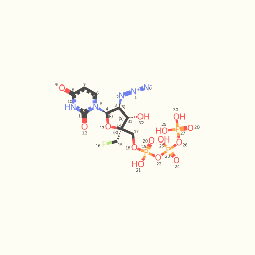 [N-]=[N+]=N[C@@H]1[C@H](n2ccc(=O)[nH]c2=O)O[C@](CF)(COP(=O)(O)OP(=O)(O)OP(=O)(O)O)[C@H]1O